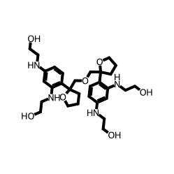 OCCNc1ccc(C2(COCC3(c4ccc(NCCO)cc4NCCO)CCCO3)CCCO2)c(NCCO)c1